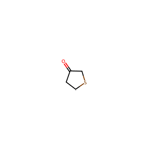 O=C1C[CH]SC1